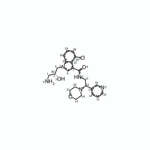 NC[C@@H](O)Cn1cc(C(=O)NCC(c2cccnc2)N2CCOCC2)c2c(Cl)cccc21